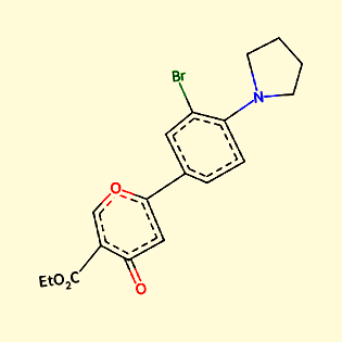 CCOC(=O)c1coc(-c2ccc(N3CCCC3)c(Br)c2)cc1=O